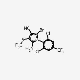 N#Cc1c(SC(F)(F)F)c(N)n(-c2c(Cl)cc(C(F)(F)F)cc2Cl)c1Br